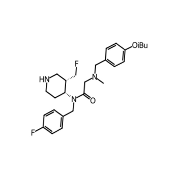 CC(C)COc1ccc(CN(C)CC(=O)N(Cc2ccc(F)cc2)[C@@H]2CCNC[C@@H]2CF)cc1